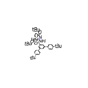 CC(C)(C)OC(=O)/N=C(/NCc1cc(-c2ccc(C(C)(C)C)cc2)cc(-c2ccc(C(C)(C)C)cc2)c1)NC(=O)OC(C)(C)C